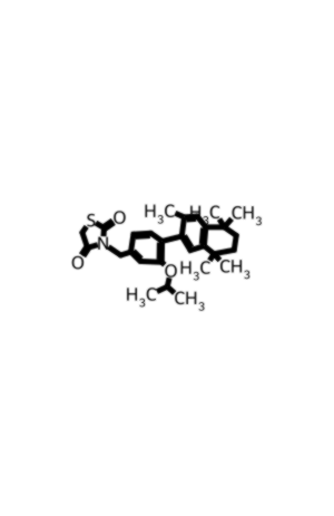 Cc1cc2c(cc1-c1ccc(CN3C(=O)CSC3=O)cc1OC(C)C)C(C)(C)CCC2(C)C